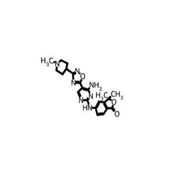 CN1CCC(c2noc(-c3cnc(Nc4ccc5c(c4)C(C)(C)OC5=O)nc3N)n2)CC1